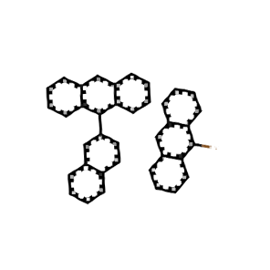 Brc1c2ccccc2cc2ccccc12.c1ccc2cc(-c3c4ccccc4cc4ccccc34)ccc2c1